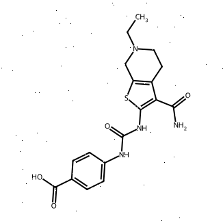 CCN1CCc2c(sc(NC(=O)Nc3ccc(C(=O)O)cc3)c2C(N)=O)C1